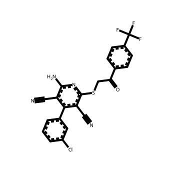 N#Cc1c(N)nc(SCC(=O)c2ccc(C(F)(F)F)cc2)c(C#N)c1-c1cccc(Cl)c1